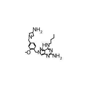 CCCCNc1nc(N)nc2cn(Cc3ccc(CN4CC(N)C4)cc3OC)nc12